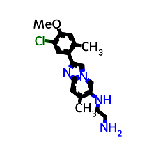 COc1cc(C)c(-c2cn3cc(NCCN)c(C)cc3n2)cc1Cl